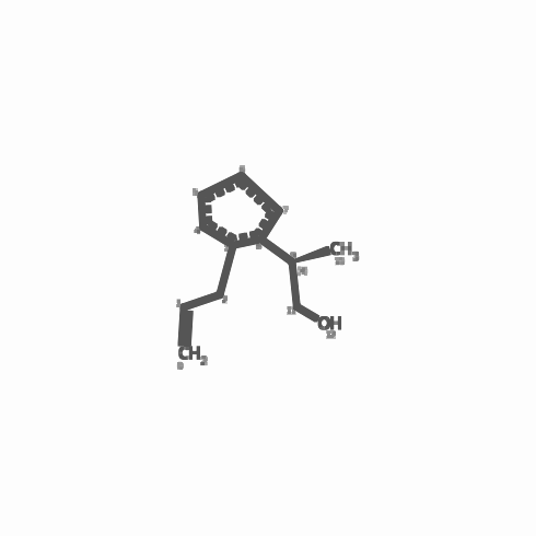 C=CCc1ccccc1[C@@H](C)CO